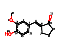 COc1cc(/C=C2\CCCC2=O)ccc1O